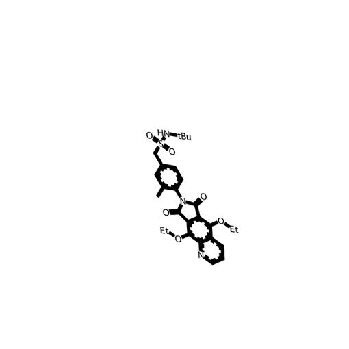 CCOc1c2c(c(OCC)c3ncccc13)C(=O)N(c1ccc(CS(=O)(=O)NC(C)(C)C)cc1C)C2=O